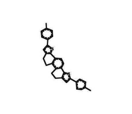 Cc1ccc(-c2cc3c(s2)-c2ccc4c(c2CC3)CCc2cc(-c3ccc(C)cc3)sc2-4)cc1